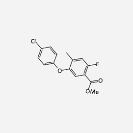 COC(=O)c1cc(Oc2ccc(Cl)cc2)c(C)cc1F